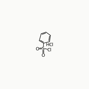 Cl.O=S(=O)(Cl)c1ccccc1